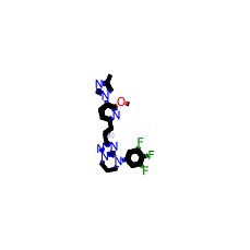 COc1nc(/C=C/c2nc3n(n2)CCCN3c2cc(F)c(F)c(F)c2)ccc1-n1cnc(C)c1